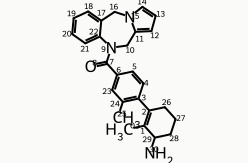 CC1=C(c2ccc(C(=O)N3Cc4cccn4Cc4ccccc43)cc2C)CCCC1N